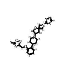 Cc1nc(COc2ccccc2C2CCN(C3COC4(C3)CN(c3nncs3)C4)CC2)no1